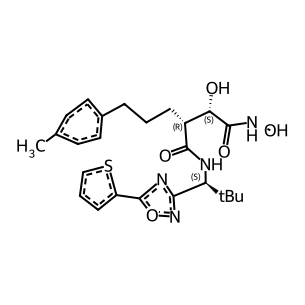 Cc1ccc(CCC[C@@H](C(=O)N[C@H](c2noc(-c3cccs3)n2)C(C)(C)C)[C@H](O)C(=O)NO)cc1